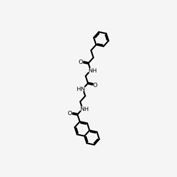 O=C(CCc1ccccc1)NCC(=O)NCCNC(=O)c1ccc2ccccc2c1